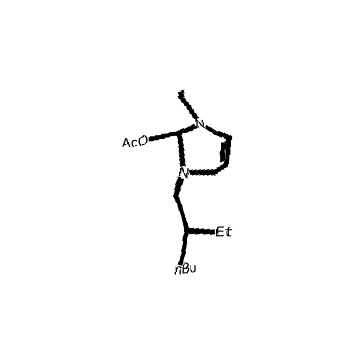 CCCCC(CC)CN1C=CN(C)C1OC(C)=O